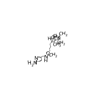 C=CC(CCCCOC(=C)NCc1ccc(N)nc1)/C(C)=C(C)/C(N)=N\C(=C)Cl